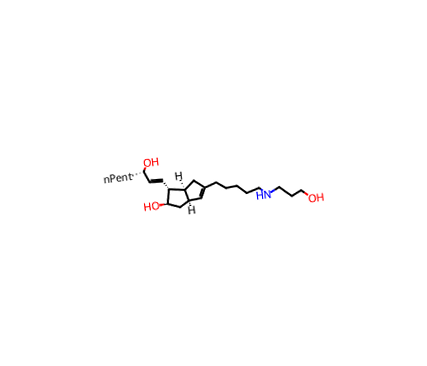 CCCCC[C@H](O)/C=C/[C@@H]1[C@H]2CC(CCCCCNCCCO)=C[C@H]2C[C@H]1O